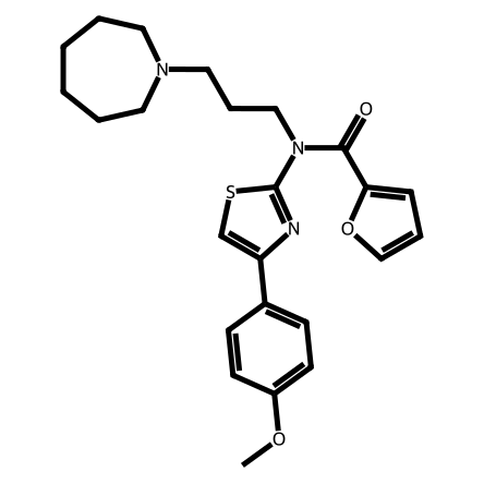 COc1ccc(-c2csc(N(CCCN3CCCCCC3)C(=O)c3ccco3)n2)cc1